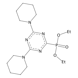 CCOP(=O)(OCC)c1nc(N2CCCCC2)nc(N2CCCCC2)n1